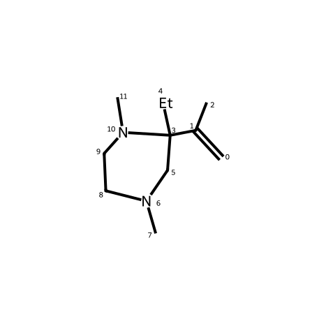 C=C(C)C1(CC)CN(C)CCN1C